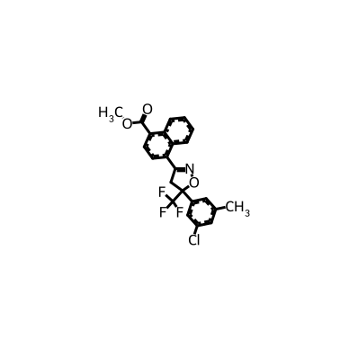 COC(=O)c1ccc(C2=NOC(c3cc(C)cc(Cl)c3)(C(F)(F)F)C2)c2ccccc12